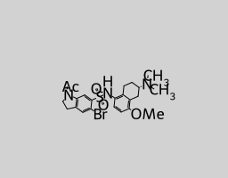 COc1ccc(NS(=O)(=O)c2cc3c(cc2Br)CCN3C(C)=O)c2c1C[C@@H](N(C)C)CC2